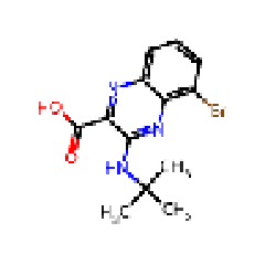 CC(C)(C)Nc1nc2c(Br)cccc2nc1C(=O)O